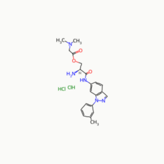 Cc1cccc(-n2ncc3ccc(NC(=O)[C@@H](N)COC(=O)CN(C)C)cc32)c1.Cl.Cl